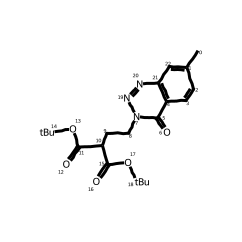 Cc1ccc2c(=O)n(CCC(C(=O)OC(C)(C)C)C(=O)OC(C)(C)C)nnc2c1